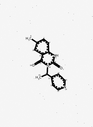 Cc1ccc2[nH]c(=O)n(C(C)c3ccncc3)c(=O)c2c1